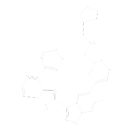 Fc1cc2[nH]nc(-c3nc4c(-c5ccccn5)nccc4[nH]3)c2cc1-c1cncc(CNCC2CCCC2)c1